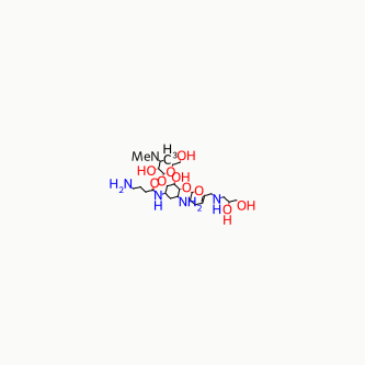 CN[C@@H](C)[C@@H](O)[C@H](OCCO)O[C@@H]1[C@@H](O)[C@H](O[C@@H]2CCC=C(CNCC(O)CO)O2)[C@@H](N)C[C@H]1NC(=O)CCCN